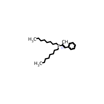 CCCCCCCCP(CCCCCCCC)/C(C)=C/c1ccccc1